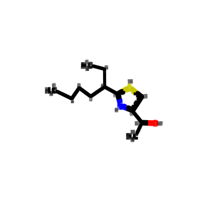 CCCCC(CC)c1nc(C(C)=O)cs1